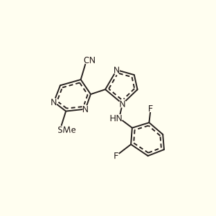 CSc1ncc(C#N)c(-c2nccn2Nc2c(F)cccc2F)n1